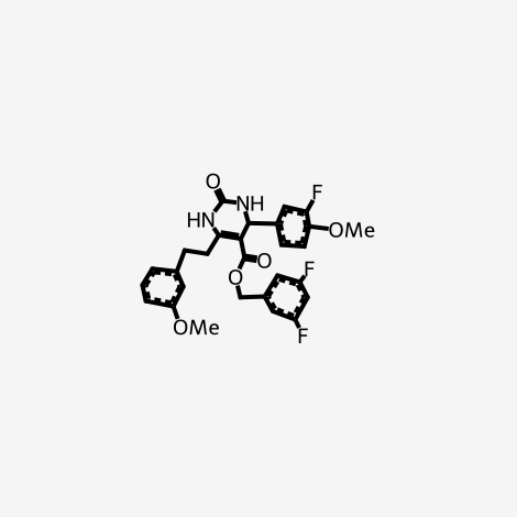 COc1cccc(CCC2=C(C(=O)OCc3cc(F)cc(F)c3)C(c3ccc(OC)c(F)c3)NC(=O)N2)c1